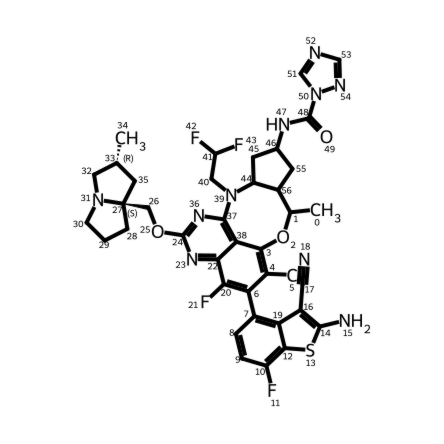 CC1Oc2c(Cl)c(-c3ccc(F)c4sc(N)c(C#N)c34)c(F)c3nc(OC[C@@]45CCCN4C[C@H](C)C5)nc(c23)N(CC(F)F)C2CC(NC(=O)n3cncn3)CC12